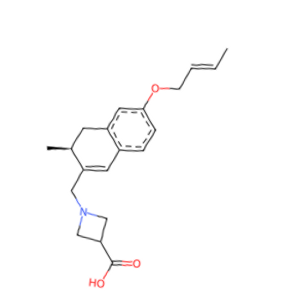 C/C=C/COc1ccc2c(c1)C[C@H](C)C(CN1CC(C(=O)O)C1)=C2